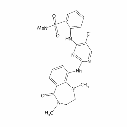 CNS(=O)(=O)c1ccccc1Nc1nc(Nc2cccc3c2N(C)CCN(C)C3=O)ncc1Cl